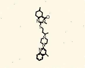 Cc1cc(N2CCN(C(C)CCSc3nc4c(c(=O)n3C)CC(C)CC4)CC2)nc2ccccc12